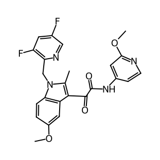 COc1ccc2c(c1)c(C(=O)C(=O)Nc1ccnc(OC)c1)c(C)n2Cc1ncc(F)cc1F